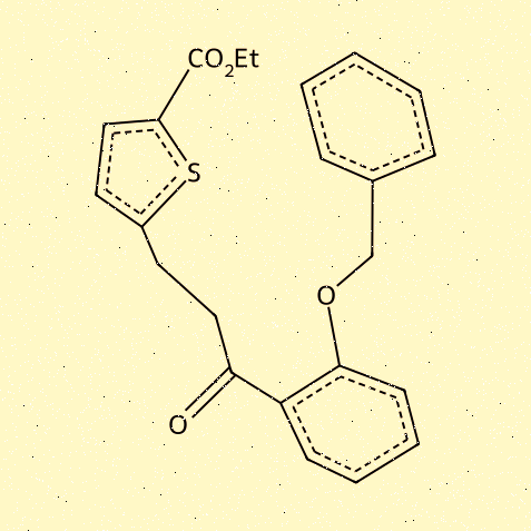 CCOC(=O)c1ccc(CCC(=O)c2ccccc2OCc2ccccc2)s1